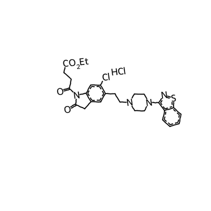 CCOC(=O)CCC(=O)N1C(=O)Cc2cc(CCN3CCN(c4nsc5ccccc45)CC3)c(Cl)cc21.Cl